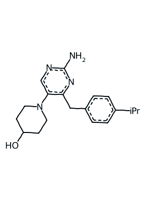 CC(C)c1ccc(Cc2nc(N)ncc2N2CCC(O)CC2)cc1